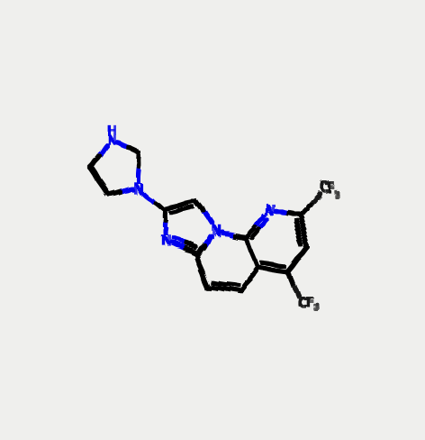 FC(F)(F)c1cc(C(F)(F)F)c2ccc3nc(N4CCNC4)cn3c2n1